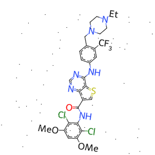 CCN1CCN(Cc2ccc(Nc3ncnc4c(C(=O)Nc5c(Cl)c(OC)cc(OC)c5Cl)csc34)cc2C(F)(F)F)CC1